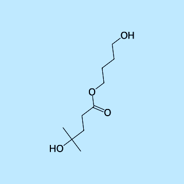 CC(C)(O)CCC(=O)OCCCCO